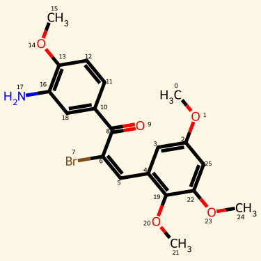 COc1cc(/C=C(/Br)C(=O)c2ccc(OC)c(N)c2)c(OC)c(OC)c1